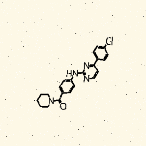 O=C(c1ccc(Nc2nccc(-c3ccc(Cl)cc3)n2)cc1)N1CC[CH]CC1